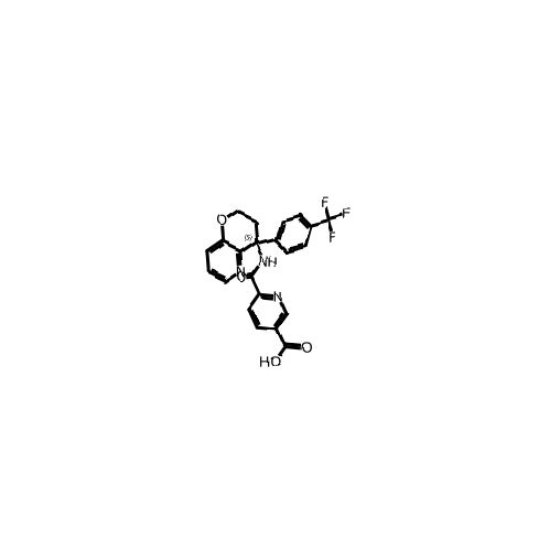 O=C(O)c1ccc(C(=O)N[C@]2(c3ccc(C(F)(F)F)cc3)CCOc3cccnc32)nc1